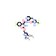 Cc1cc(COC(=O)N[C@H](C(=O)Nc2cc(CN3C[C@@H](C(F)(F)F)NC3=O)ccn2)C2CCC(F)(F)CC2)nn1C